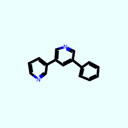 c1ccc(-c2cncc(-c3cccnc3)c2)cc1